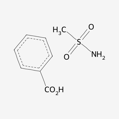 CS(N)(=O)=O.O=C(O)c1ccccc1